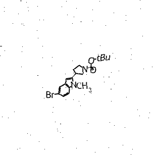 Cn1c(C2CCN(C(=O)OC(C)(C)C)C2)cc2cc(Br)ccc21